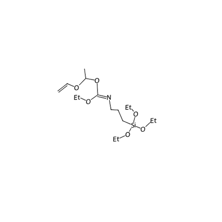 C=COC(C)OC(=NCCC[Si](OCC)(OCC)OCC)OCC